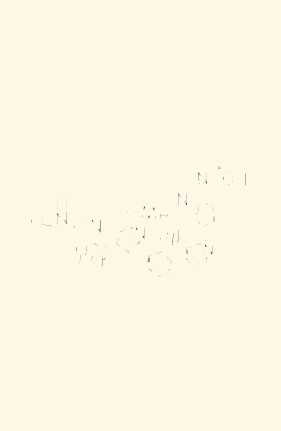 COc1nc(-c2cccc(-c3ccnc(-c4ccc5c(c4)N(C)CCN(C[C@H](C)O)C5)c3Cl)c2Cl)ccc1CN(C[C@@H]1CCC(=O)N1)C(=O)OC(C)(C)C